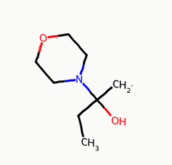 [CH2]C(O)(CC)N1CCOCC1